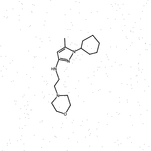 Cc1cc(NCCN2CCOCC2)nn1C1CCCCC1